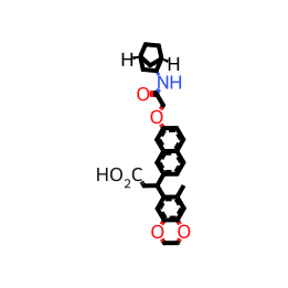 Cc1cc2c(cc1C(CC(=O)O)c1ccc3ccc(OCC(=O)N[C@H]4C[C@@H]5CC[C@H]4C5)cc3c1)OCCO2